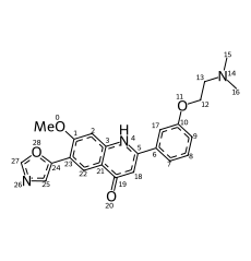 COc1cc2[nH]c(-c3cccc(OCCN(C)C)c3)cc(=O)c2cc1-c1cnco1